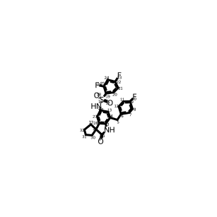 O=C1Nc2c(Cc3ccc(F)cc3)cc(NS(=O)(=O)c3ccc(F)cc3F)cc2C12CCCC2